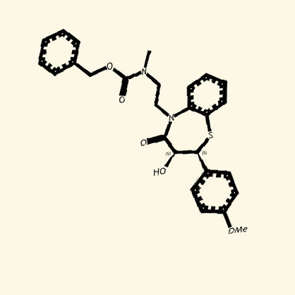 COc1ccc([C@@H]2Sc3ccccc3N(CCN(C)C(=O)OCc3ccccc3)C(=O)[C@@H]2O)cc1